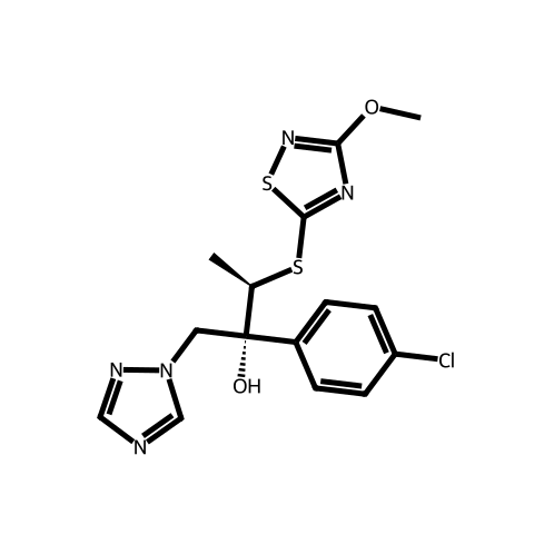 COc1nsc(S[C@H](C)[C@](O)(Cn2cncn2)c2ccc(Cl)cc2)n1